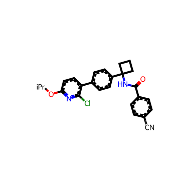 CC(C)Oc1ccc(-c2ccc(C3(NC(=O)c4ccc(C#N)cc4)CCC3)cc2)c(Cl)n1